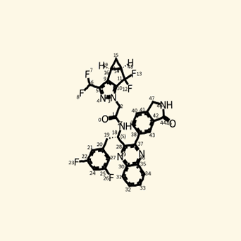 O=C(Cn1nc(C(F)F)c2c1C(F)(F)[C@@H]1C[C@H]21)N[C@@H](Cc1cc(F)cc(F)c1)c1nc2ccccc2nc1-c1ccc2c(c1)C(=O)NC2